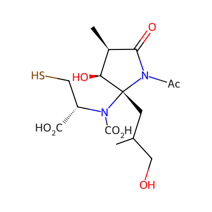 CC(=O)N1C(=O)[C@H](C)[C@H](O)[C@@]1(CC(C)CO)N(C(=O)O)[C@@H](CS)C(=O)O